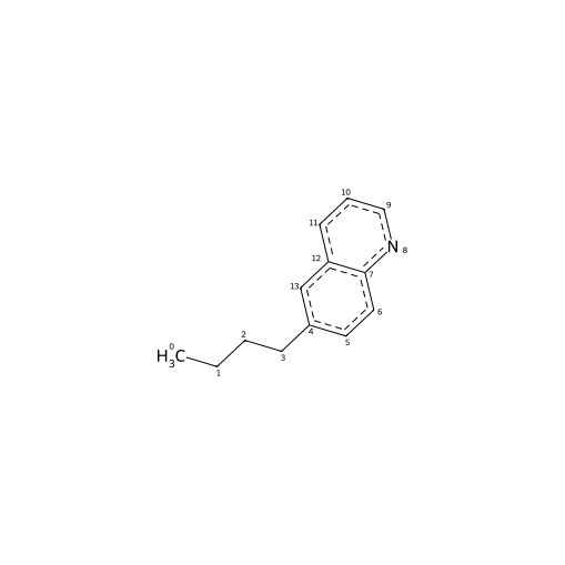 CCCCc1ccc2ncccc2c1